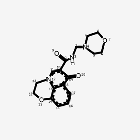 O=C(NCN1CCOCC1)c1cn2c3c(cccc3c1=O)OCC2